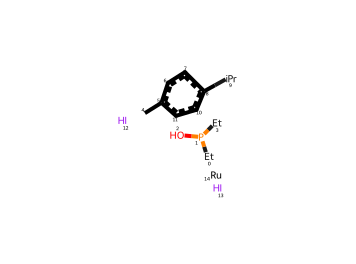 CCP(O)CC.Cc1ccc(C(C)C)cc1.I.I.[Ru]